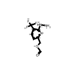 NNc1nc(COC=O)ccc1C(F)(F)F